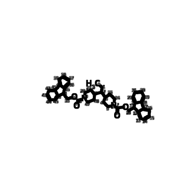 CCC(C1CCN(C(=O)OCC2c3ccccc3-c3ccccc32)CC1)C1CCN(C(=O)OCC2c3ccccc3-c3ccccc32)CC1